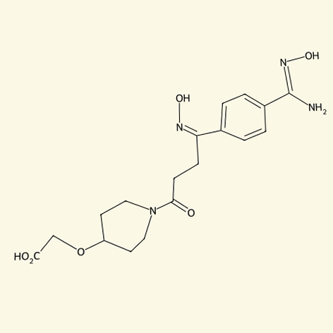 NC(=NO)c1ccc(/C(CCC(=O)N2CCC(OCC(=O)O)CC2)=N\O)cc1